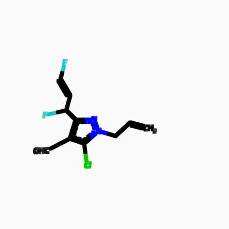 C=CCn1nc(C(F)C=CF)c(C=O)c1Cl